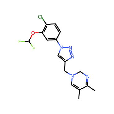 CC1=CN(Cc2cn(-c3ccc(Cl)c(OC(F)F)c3)nn2)CN=C1C